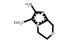 CCOC(=O)c1c(N)nc2n1CCOC2